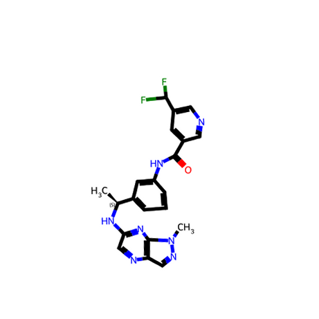 C[C@H](Nc1cnc2cnn(C)c2n1)c1cccc(NC(=O)c2cncc(C(F)F)c2)c1